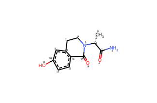 C[C@H](C(N)=O)N1CCc2cc(O)ccc2C1=O